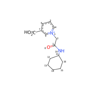 O=C(C[n+]1cccc(C(=O)O)c1)NC1CCCCC1